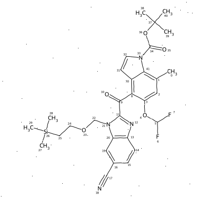 Cc1cc(OC(F)F)c(C(=O)c2nc3ccc(C#N)cc3n2COCC[Si](C)(C)C)c2ccn(C(=O)OC(C)(C)C)c12